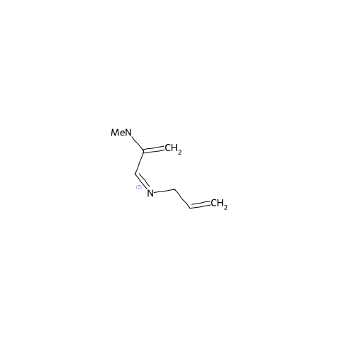 C=CC/N=C\C(=C)NC